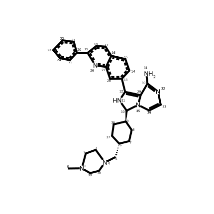 CN1CCN(C[C@H]2CC[C@H](C3NC(c4ccc5ccc(-c6ccccc6)nc5c4)=C4C(N)=NC=CN43)CC2)CC1